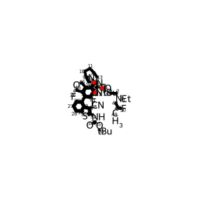 CCN(CCOc1nc(N2C3CCC2CN(C(=O)OC(C)(C)C)C3)c2c3c(c(-c4c(F)ccc5sc(NC(=O)OC(C)(C)C)c(C#N)c45)c(F)c2n1)COC3)C[C@H](C)F